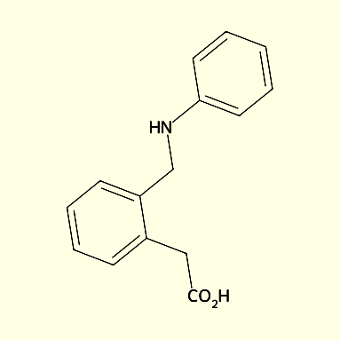 O=C(O)Cc1ccccc1CNc1ccccc1